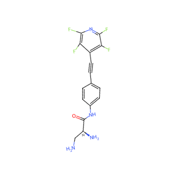 NC[C@H](N)C(=O)Nc1ccc(C#Cc2c(F)c(F)nc(F)c2F)cc1